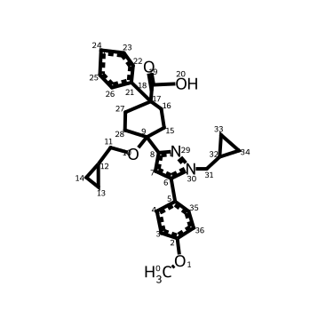 COc1ccc(-c2cc(C3(OCC4CC4)CCC(C(=O)O)(c4ccccc4)CC3)nn2CC2CC2)cc1